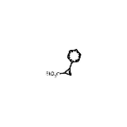 CCOC(=O)C1C=C1c1ccccc1